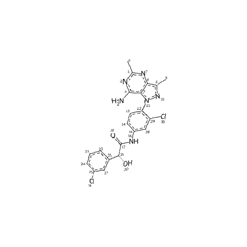 Cc1nc(N)c2c(n1)c(C)nn2-c1ccc(NC(=O)C(O)c2cccc(Cl)c2)cc1Cl